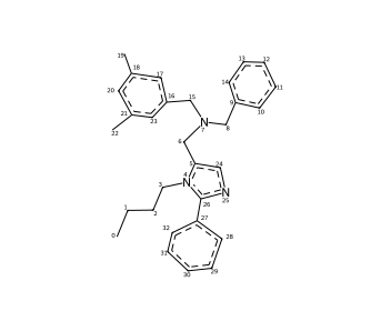 CCCCn1c(CN(Cc2ccccc2)Cc2cc(C)cc(C)c2)cnc1-c1ccccc1